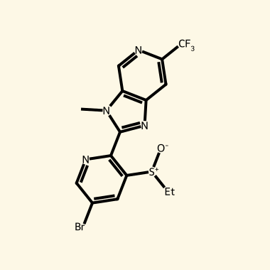 CC[S+]([O-])c1cc(Br)cnc1-c1nc2cc(C(F)(F)F)ncc2n1C